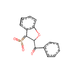 O=C(c1ccccc1)C1Oc2ccccc2C1=S(=O)=O